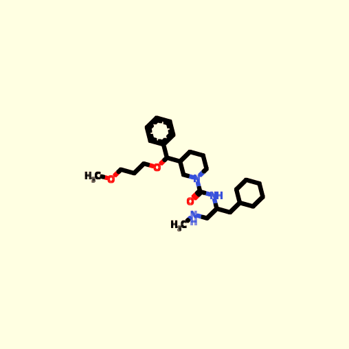 CNCC(CC1CCCCC1)NC(=O)N1CCCC(C(OCCCOC)c2ccccc2)C1